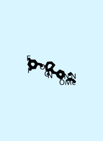 COc1cc(-c2noc3c2CCCC3OCc2cc(F)cc(F)c2)ccc1-n1cnc(C)c1